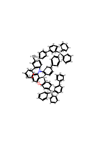 CC(C)(C)c1ccc(N2C3=C(C=CC(c4ccc([Si](c5ccccc5)(c5ccccc5)c5cccc(-c6ccccc6)c5)cc4)C3)B3c4ccc([Si](c5ccccc5)(c5ccccc5)c5cccc(-c6ccccc6)c5)cc4Oc4cc(C(C)(C)C)cc2c43)c(-c2ccccc2)c1